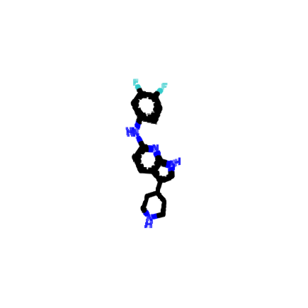 Fc1ccc(Nc2ccc3c(C4CCNCC4)c[nH]c3n2)cc1F